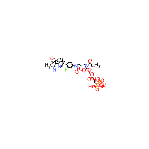 CC(=O)N(C[C@H]1CN(c2ccc(-c3ccc(C4(C#N)[C@]5(C)COC[C@]45C)nc3)c(F)c2)C(=O)O1)C(=O)OCOC(=O)CCC(P(=O)(O)O)P(=O)(O)O